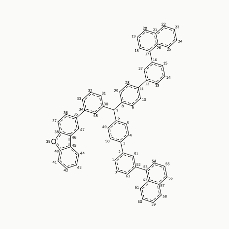 c1cc(-c2ccc(C(c3ccc(-c4cccc(-c5cccc6ccccc56)c4)cc3)c3cccc(-c4ccc5oc6ccccc6c5c4)c3)cc2)cc(-c2cccc3ccccc23)c1